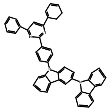 C1=CCCC(c2cc(-c3ccccc3)nc(-c3ccc(-n4c5ccccc5c5cc(-n6c7ccccc7c7ccccc76)ccc54)cc3)n2)=C1